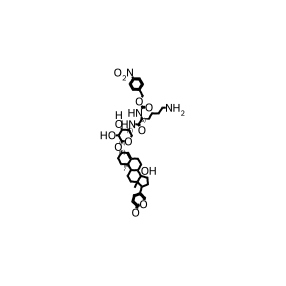 CC12CCC3C(CCC4=C[C@@H](O[C@H]5OC[C@H](NC(=O)[C@H](CCCCN)NC(=O)OCc6ccc([N+](=O)[O-])cc6)C(O)C5O)CC[C@@]43C)C1(O)CCC2c1ccc(=O)oc1